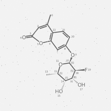 Cc1cc(=O)oc2cc(O[C@@H]3O[C@@H](C)[C@@H](O)[C@@H](O)[C@@H]3F)ccc12